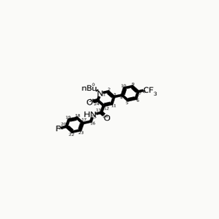 CCCCn1cc(-c2ccc(C(F)(F)F)cc2)cc(C(=O)NCc2ccc(F)cc2)c1=O